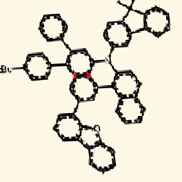 CC(C)(C)c1ccc(-c2ccc(N(c3ccc4c(c3)-c3ccccc3C4(C)C)c3ccc4ccccc4c3-c3cccc(-c4cccc5c4oc4ccccc45)c3)cc2-c2ccccc2)cc1